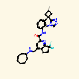 CC1CC(c2cccc(NC(=O)c3cc(CNC4CCCCCC4)c4c(n3)C(F)(F)CC4)c2)(c2nncn2C)C1